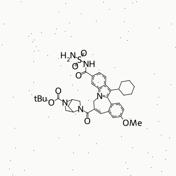 COc1ccc2c(c1)C=C(C(=O)N1CC3CC1CN3C(=O)OC(C)(C)C)Cn1c-2c(C2CCCCC2)c2ccc(C(=O)NS(N)(=O)=O)cc21